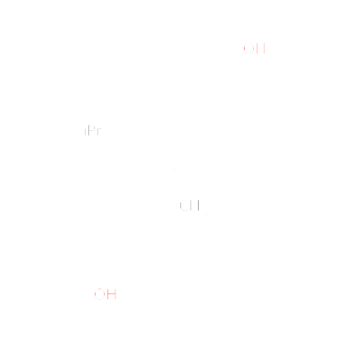 CC(C)CC(C)(c1cccc(O)c1)c1cccc(O)c1